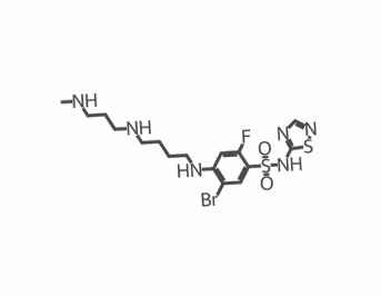 CNCCCNCCCCNc1cc(F)c(S(=O)(=O)Nc2ncns2)cc1Br